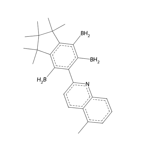 Bc1c(B)c2c(c(B)c1-c1ccc3c(C)cccc3n1)C(C)(C)C(C)(C)C2(C)C